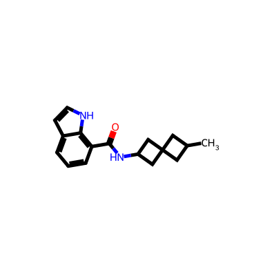 CC1CC2(C1)CC(NC(=O)c1cccc3cc[nH]c13)C2